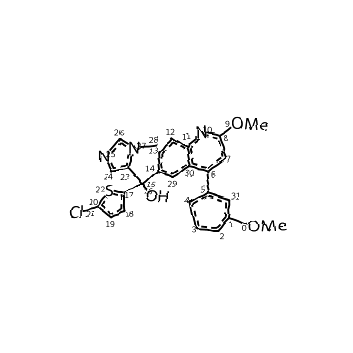 COc1cccc(-c2cc(OC)nc3ccc(C(O)(c4ccc(Cl)s4)c4cncn4C)cc23)c1